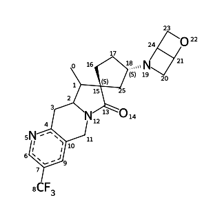 CC1C2Cc3ncc(C(F)(F)F)cc3CN2C(=O)[C@]12CC[C@H](N1CC3OCC31)C2